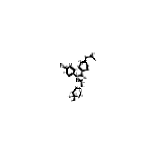 CC(C)Cc1ccc(-c2nc(CN3CCC(C)(C)CC3)nn2-c2ccc(F)cc2)cc1